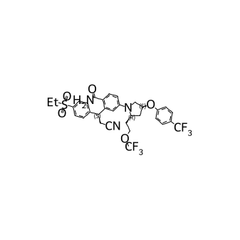 CCS(=O)(=O)c1ccc([C@H](CC#N)c2cc(N3C[C@@H](Oc4ccc(C(F)(F)F)cc4)C[C@H]3CCOC(F)(F)F)ccc2C(N)=O)cc1